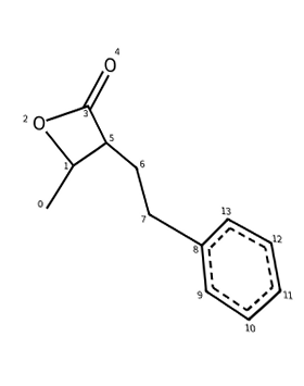 CC1OC(=O)C1CCc1ccccc1